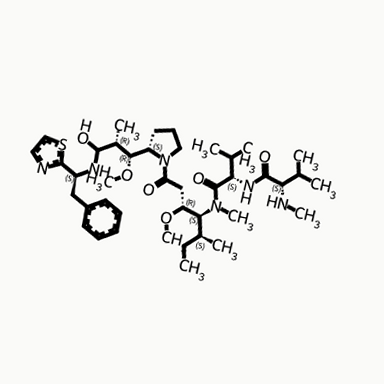 CC[C@H](C)[C@@H]([C@@H](CC(=O)N1CCC[C@H]1[C@H](OC)[C@@H](C)C(O)N[C@@H](Cc1ccccc1)c1nccs1)OC)N(C)C(=O)[C@@H](NC(=O)[C@@H](NC)C(C)C)C(C)C